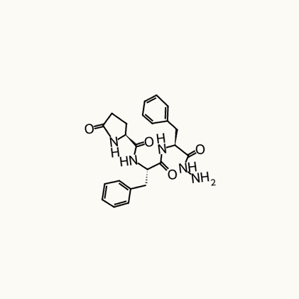 NNC(=O)[C@H](Cc1ccccc1)NC(=O)[C@H](Cc1ccccc1)NC(=O)[C@@H]1CCC(=O)N1